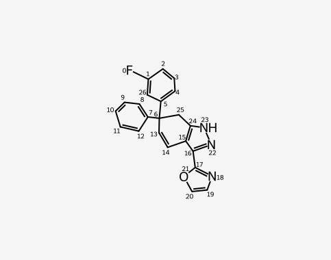 Fc1cccc(C2(c3ccccc3)C=Cc3c(-c4ncco4)n[nH]c3C2)c1